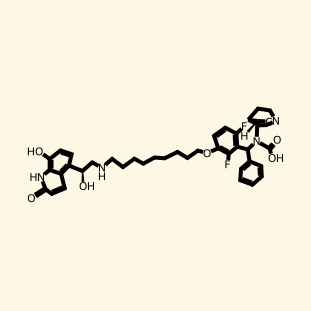 O=C(O)N(C(c1ccccc1)c1c(F)ccc(OCCCCCCCCCNC[C@@H](O)c2ccc(O)c3[nH]c(=O)ccc23)c1F)[C@H]1CN2CCC1CC2